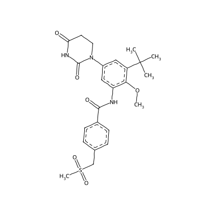 COc1c(NC(=O)c2ccc(CS(C)(=O)=O)cc2)cc(N2CCC(=O)NC2=O)cc1C(C)(C)C